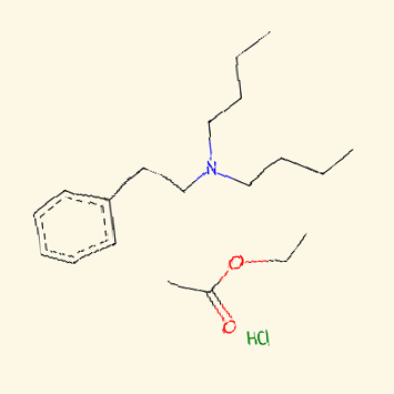 CCCCN(CCCC)CCc1ccccc1.CCOC(C)=O.Cl